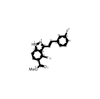 COC(=O)c1ccc2[nH]nc(C=Cc3cccc(F)c3)c2c1F